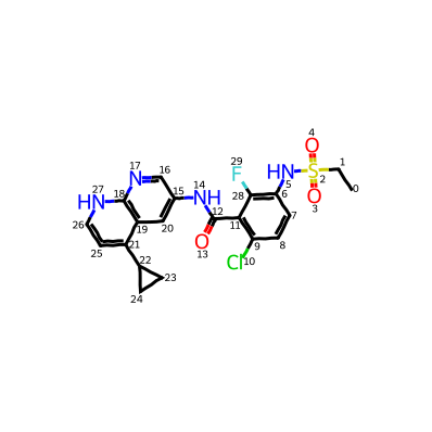 CCS(=O)(=O)Nc1ccc(Cl)c(C(=O)Nc2cnc3c(c2)C(C2CC2)=C=CN3)c1F